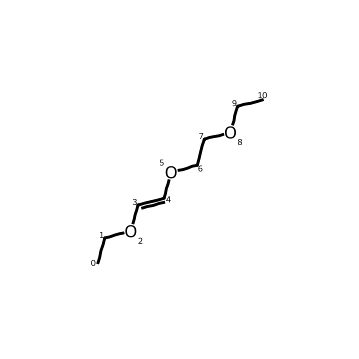 CCOC=COCCOCC